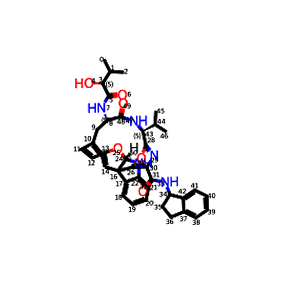 CC(C)[C@H](O)C(=O)N[C@H]1Cc2ccc3c(c2)C2(c4ccccc4N[C@H]2O3)c2oc(nc2C(=O)NC2CCc3ccccc32)[C@H](C(C)C)NC1=O